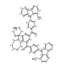 Cc1cccc2c3ccccc3n(-c3ccc(C(=O)c4cc(C(=O)c5ccc(-n6c7ccccc7c7cccc(C)c76)cc5)cc(C5(C6CCCCCC6)CCNCC5)c4)cc3)c12